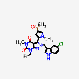 CC(C)Cn1c(=O)n(C)c(=O)c2c(-c3cc([S+](C)[O-])cn3C)n(Cc3c[nH]c4ccc(Cl)cc34)nc21